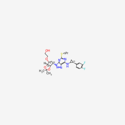 CCCSc1nc(NC2C[C@H]2c2ccc(F)c(F)c2)c2nnn([C@@H]3C[C@H](OCCO)[C@H]4OC(C)(C)OC34)c2n1